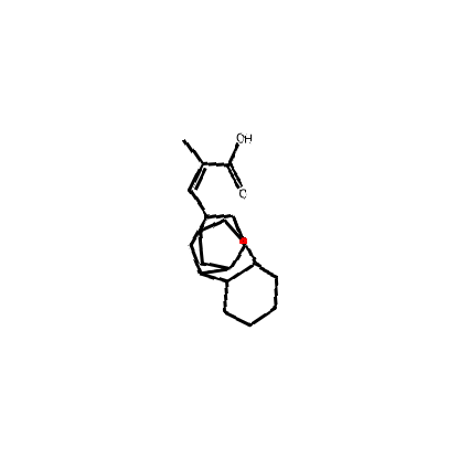 CC(=CC1CC2C3CCCCC3CC1C1CCCC12)C(=O)O